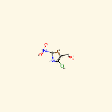 O=Cc1sc([N+](=O)[O-])nc1Cl